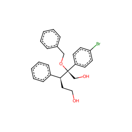 OCC[C@@H](c1ccccc1)[C@](CO)(OCc1ccccc1)c1ccc(Br)cc1